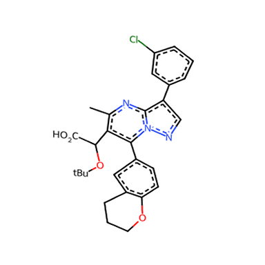 Cc1nc2c(-c3cccc(Cl)c3)cnn2c(-c2ccc3c(c2)CCCO3)c1C(OC(C)(C)C)C(=O)O